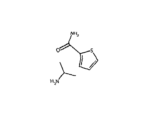 CC(C)N.NC(=O)c1cccs1